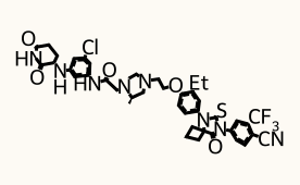 CCc1cc(N2C(=S)N(c3ccc(C#N)c(C(F)(F)F)c3)C(=O)C23CCC3)ccc1OCCN1CCN(CC(=O)Nc2cc(Cl)cc(NC3CCC(=O)NC3=O)c2)[C@H](C)C1